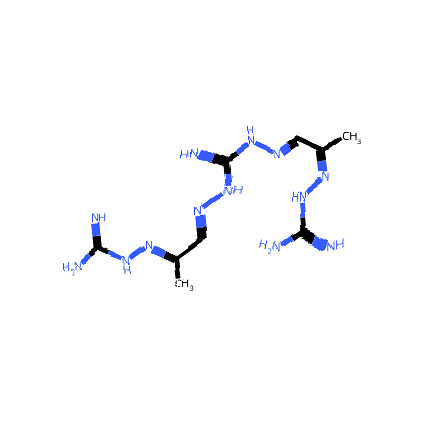 CC(C=NNC(=N)NN=CC(C)=NNC(=N)N)=NNC(=N)N